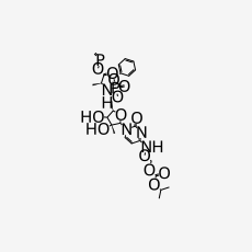 C=POC(=O)[C@H](C)NP(=O)(OC[C@H]1O[C@@H](n2ccc(NOCOC(=O)OC(C)C)nc2=O)[C@](C)(O)C1O)Oc1ccccc1